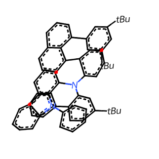 CC(C)(C)c1cc(-c2cccc3cccc(-c4ccccc4N(c4cc(C(C)(C)C)ccc4-c4ccccc4)c4cccc5c6ccccc6n(-c6ccccc6)c45)c23)cc(C(C)(C)C)c1